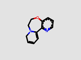 C1=CCN2CCOc3cccnc3C2=C1